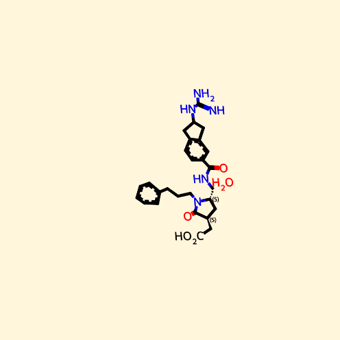 N=C(N)NC1Cc2ccc(C(=O)NC[C@@H]3C[C@@H](CC(=O)O)C(=O)N3CCCc3ccccc3)cc2C1.O